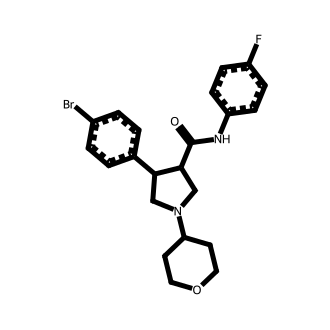 O=C(Nc1ccc(F)cc1)C1CN(C2CCOCC2)CC1c1ccc(Br)cc1